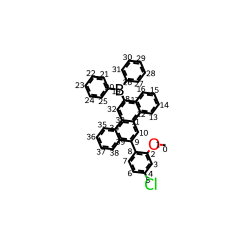 COc1cc(Cl)ccc1-c1cc2c3ccccc3c(B(c3ccccc3)c3ccccc3)cc2c2ccccc12